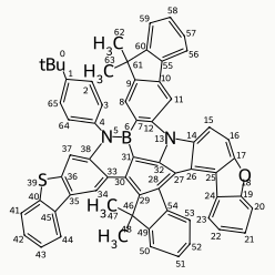 CC(C)(C)c1ccc(N2B3c4cc5c(cc4-n4c6ccc7oc8ccccc8c7c6c6c7c(c(c3c64)-c3cc4c(cc32)sc2ccccc24)C(C)(C)c2ccccc2-7)-c2ccccc2C5(C)C)cc1